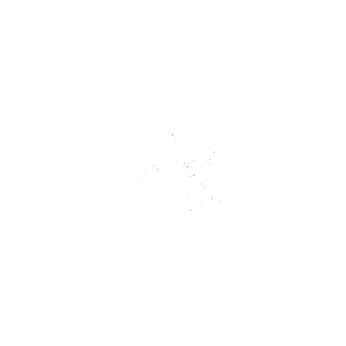 COCC(=O)N1CCC(CC#N)(n2nc(Nc3ccccc3S(=O)(=O)N(C)C)c3c(=O)[nH]ccc32)CC1